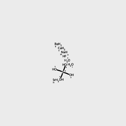 F.O.O.O[Si](O)(O)O.[BaH2].[CaH2].[NaH].[SrH2]